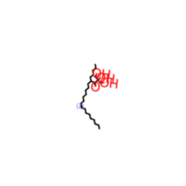 CCCCCCCC/C=C\CCCCCCC(CCCCC)C(=O)C(O)(CO)CO